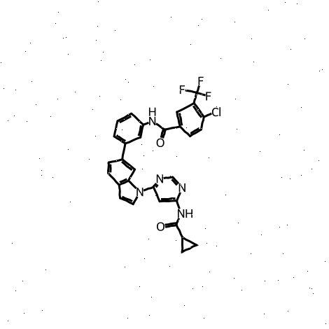 O=C(Nc1cccc(-c2ccc3ccn(-c4cc(NC(=O)C5CC5)ncn4)c3c2)c1)c1ccc(Cl)c(C(F)(F)F)c1